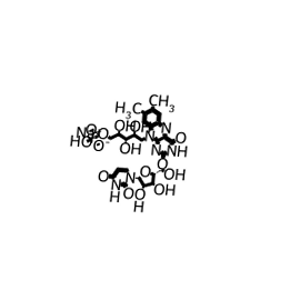 Cc1cc2nc3c(=O)[nH]c(=O)nc-3n(C[C@H](O)[C@H](O)[C@H](O)COP(=O)([O-])O)c2cc1C.O=c1ccn([C@@H]2O[C@H](CO)[C@@H](O)[C@H]2O)c(=O)[nH]1.[Na+]